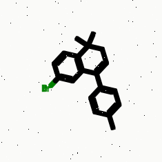 Cc1ccc(C2=CCC(C)(C)c3ccc(Br)cc32)cc1